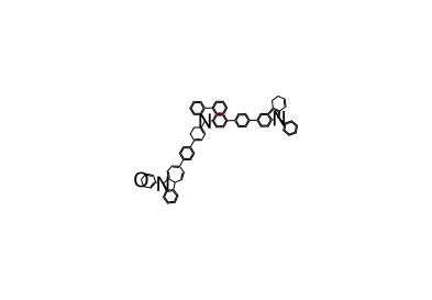 C1=Cc2c(c3cc(-c4ccc(-c5ccc(N(C6=CC=C(c7ccc(C8=CC=C9C(C=C8)c8ccccc8N9C8=CCOC=C8)cc7)CC6)c6ccccc6-c6ccccc6)cc5)cc4)ccc3n2-c2ccccc2)CC1